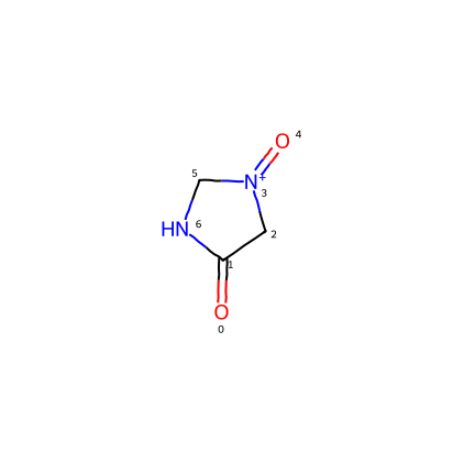 O=C1C[N+](=O)CN1